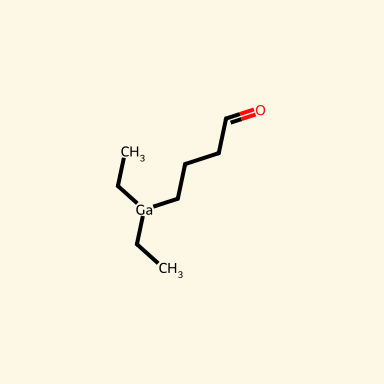 C[CH2][Ga]([CH2]C)[CH2]CCC=O